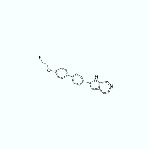 FCCOc1ccc(-c2ccc(-c3cc4ccncc4[nH]3)cc2)cc1